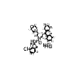 Cl.Cl.O=C(Nc1nc2c(Cl)cccc2s1)N(CCC(c1ccccc1)c1ccccc1)CCN1CCOCC1